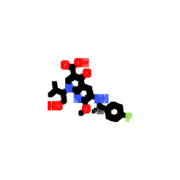 COc1nc2c(cc1N[C@@H](C)c1ccc(F)cc1)c(=O)c(C(=O)O)cn2C(CO)C(C)C